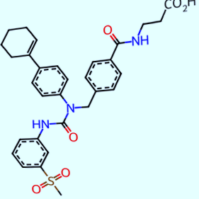 CS(=O)(=O)c1cccc(NC(=O)N(Cc2ccc(C(=O)NCCC(=O)O)cc2)c2ccc(C3=CCCCC3)cc2)c1